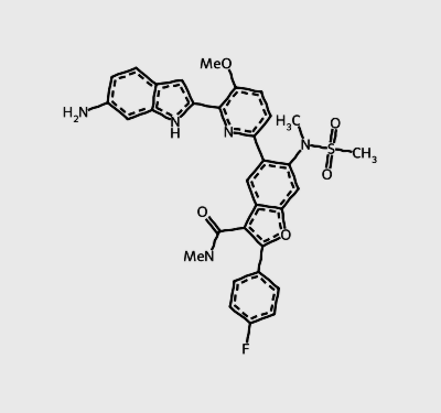 CNC(=O)c1c(-c2ccc(F)cc2)oc2cc(N(C)S(C)(=O)=O)c(-c3ccc(OC)c(-c4cc5ccc(N)cc5[nH]4)n3)cc12